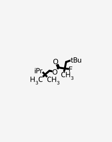 CC(C)C(C)(C)COC(=O)C(C)(F)CC(C)(C)C